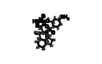 COc1cc(N)ccc1S(=O)(=O)N[C@H](c1n[nH]c(=O)o1)[C@H](C)c1cccc2c1CCC2